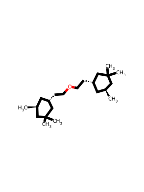 C[C@H]1C[C@H](CCOCC[C@H]2C[C@H](C)CC(C)(C)C2)CC(C)(C)C1